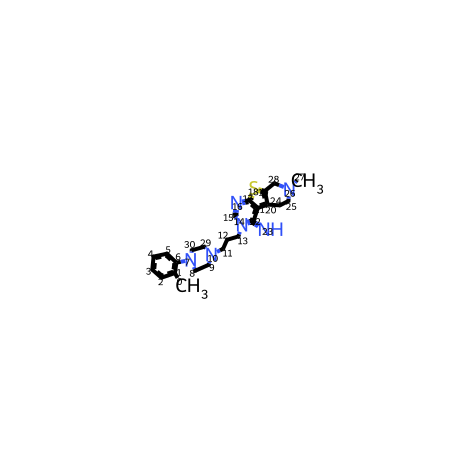 Cc1ccccc1N1CCN(CCCn2cnc3sc4c(c3c2=N)CCN(C)C4)CC1